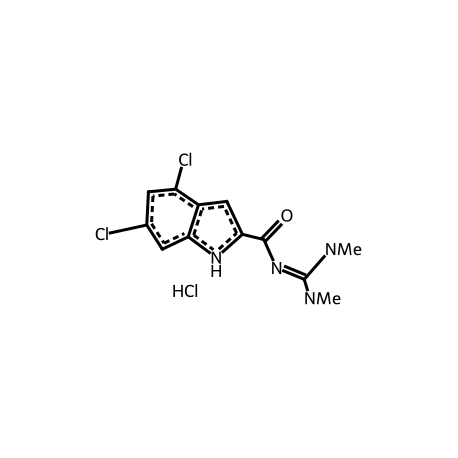 CNC(=NC(=O)c1cc2c(Cl)cc(Cl)cc2[nH]1)NC.Cl